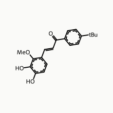 COc1c(/C=C/C(=O)c2ccc(C(C)(C)C)cc2)ccc(O)c1O